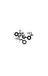 CC(O)c1cccc(-c2ccc(S(=O)(=O)Nc3ccccc3CN[C@@H](C)CC3CCCCC3)s2)c1